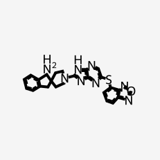 N[C@@H]1c2ccccc2CC12CCN(c1nc3nc(Sc4cccc5nonc45)cnc3[nH]1)CC2